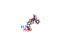 N[C@@H](Cc1cccc(S(=O)(=O)N2CC(Oc3ccccc3)(C3CC3)C2)c1)C(=O)O